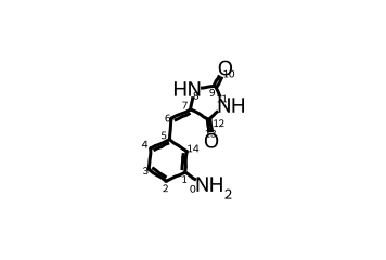 Nc1cccc(C=C2NC(=O)NC2=O)c1